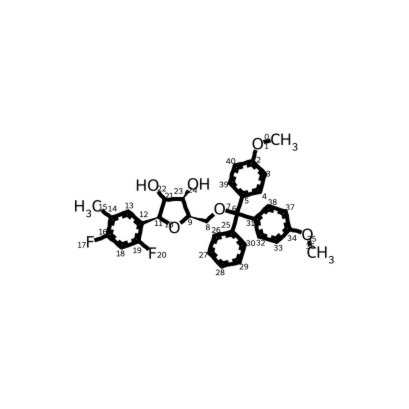 COc1ccc(C(OC[C@H]2O[C@@H](c3cc(C)c(F)cc3F)C(O)[C@H]2O)(c2ccccc2)c2ccc(OC)cc2)cc1